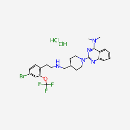 CN(C)c1nc(N2CCC(CNCCc3ccc(Br)cc3OC(F)(F)F)CC2)nc2ccccc12.Cl.Cl